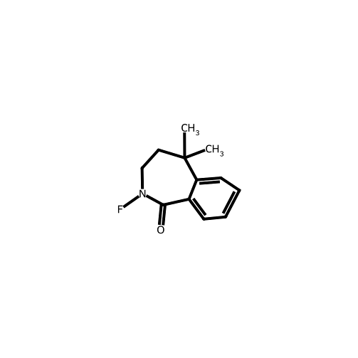 CC1(C)CCN(F)C(=O)c2ccccc21